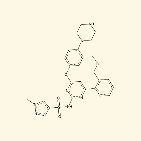 COCc1ccccc1-c1cc(Oc2ccc(N3CCNCC3)cc2)nc(NS(=O)(=O)c2cnn(C)c2)n1